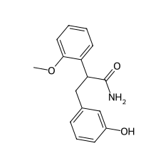 COc1ccccc1C(Cc1cccc(O)c1)C(N)=O